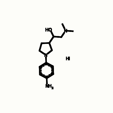 CN(C)CC(O)C1CCN(c2ccc(N)cc2)C1.I